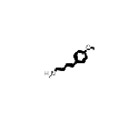 COc1ccc(C=CCCN)cc1